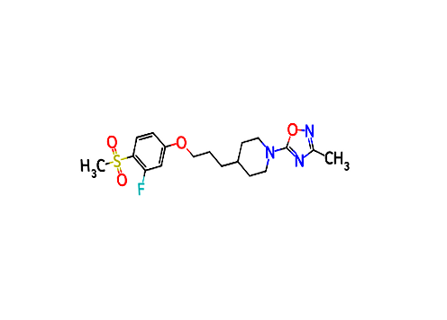 Cc1noc(N2CCC(CCCOc3ccc(S(C)(=O)=O)c(F)c3)CC2)n1